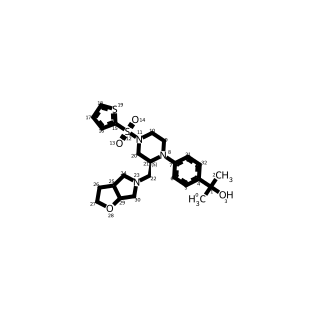 CC(C)(O)c1ccc(N2CCN(S(=O)(=O)c3cccs3)C[C@@H]2CN2CC3CCOC3C2)cc1